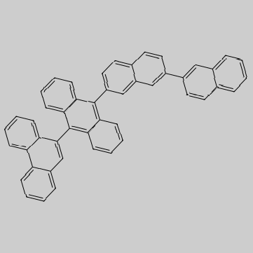 c1ccc2cc(-c3ccc4ccc(-c5c6ccccc6c(-c6cc7ccccc7c7ccccc67)c6ccccc56)cc4c3)ccc2c1